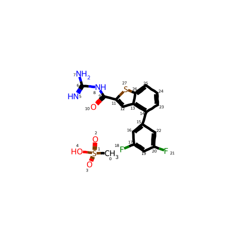 CS(=O)(=O)O.N=C(N)NC(=O)c1cc2c(-c3cc(F)cc(F)c3)cccc2s1